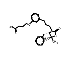 CC1(C)OC(=O)N(CCCc2cccc(OCCCC(=O)O)c2)[C@H]1Cc1ccccc1